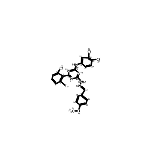 Fc1cccc(Cl)c1-c1nc(NN=Cc2ccc(OC(F)(F)F)cc2)nc(Nc2ccc(Cl)c(Cl)c2)n1